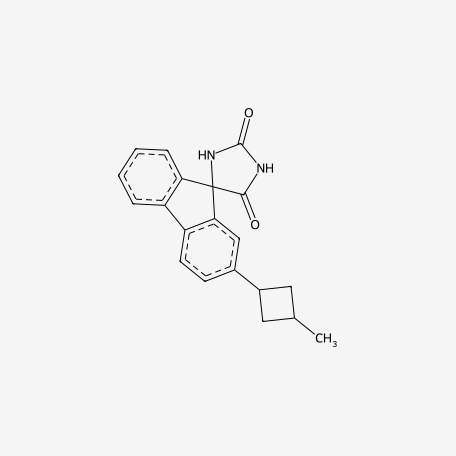 CC1CC(c2ccc3c(c2)C2(NC(=O)NC2=O)c2ccccc2-3)C1